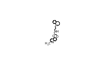 Cc1ccc2c3c(ccc2n1)OC[C@H](CNCCCN1CCCCc2ccccc21)O3